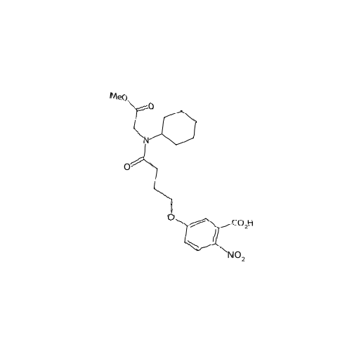 COC(=O)CN(C(=O)CCCOc1ccc([N+](=O)[O-])c(C(=O)O)c1)C1CCCCC1